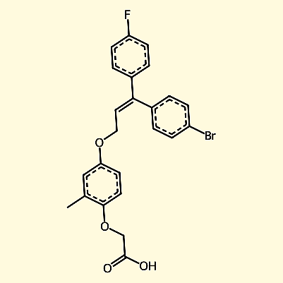 Cc1cc(OCC=C(c2ccc(F)cc2)c2ccc(Br)cc2)ccc1OCC(=O)O